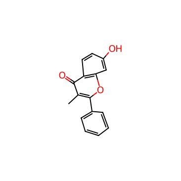 Cc1c(-c2ccccc2)oc2cc(O)ccc2c1=O